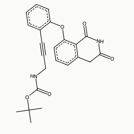 CC(C)(C)OC(=O)NCC#Cc1ccccc1Oc1cccc2c1C(=O)NC(=O)C2